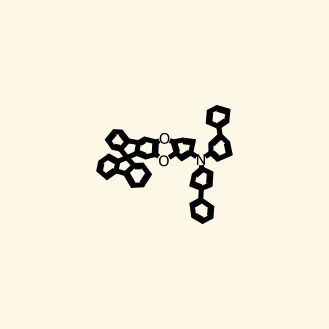 c1ccc(-c2ccc(N(c3cccc(-c4ccccc4)c3)c3ccc4c(c3)Oc3cc5c(cc3O4)-c3ccccc3C53c4ccccc4-c4ccccc43)cc2)cc1